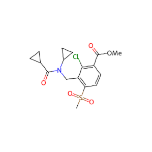 COC(=O)c1ccc(S(C)(=O)=O)c(CN(C(=O)C2CC2)C2CC2)c1Cl